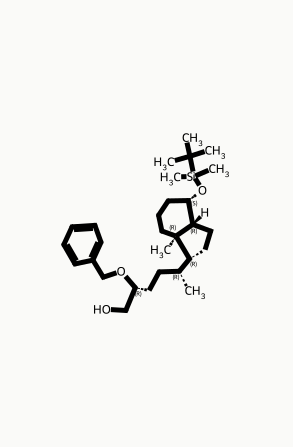 C[C@H](CC[C@H](CO)OCc1ccccc1)[C@H]1CC[C@H]2[C@@H](O[Si](C)(C)C(C)(C)C)CCC[C@]12C